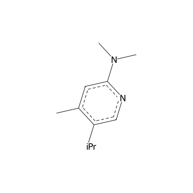 Cc1cc(N(C)C)ncc1C(C)C